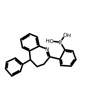 OB(O)c1ccccc1C1=Nc2ccccc2C(c2ccccc2)CC1